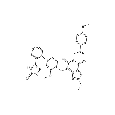 CCc1cc2c(=O)n(CC(=O)c3ccc(OC)cc3)c(=O)n(Cc3ccc(-c4ccccc4-c4noc(=O)[nH]4)cc3OC)c2s1